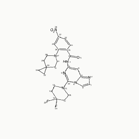 O=C(Nc1cc2nccn2c(N2CCC(F)(F)CC2)n1)c1ccc([N+](=O)[O-])cc1N1CCC2(CC1)CC2